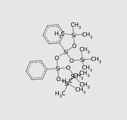 C[Si](C)(C)O[Si](O[Si](C)(C)C)(O[Si](O[Si](C)(C)C)(O[Si](C)(C)C)c1ccccc1)c1ccccc1